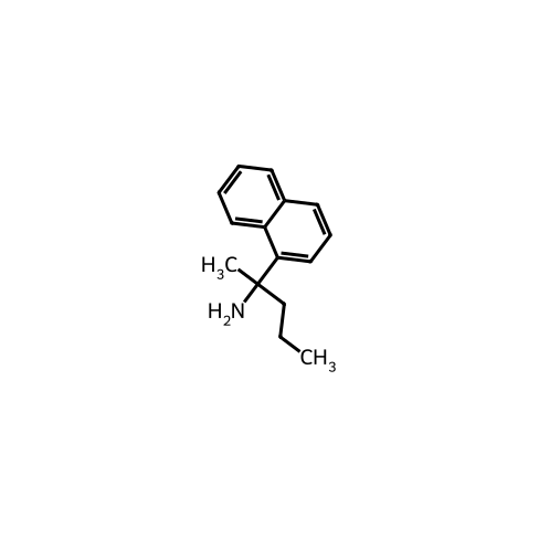 CCCC(C)(N)c1cccc2ccccc12